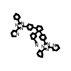 N#Cc1cccc(-c2c(-c3ccc(-c4nc(-c5ccccc5)nc(-c5ccccn5)n4)cc3)cccc2-c2ccc(-c3nc(-c4ccccc4)nc(-c4ccccn4)n3)cc2)c1